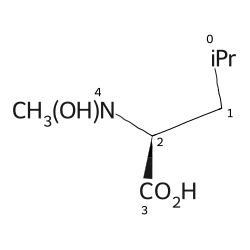 CC(C)C[C@@H](C(=O)O)N(C)O